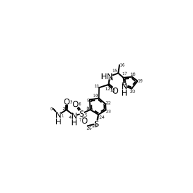 CNC(=O)NS(=O)(=O)c1cc(CC(=O)NC(C)c2ccc[nH]2)ccc1SC